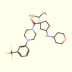 CC(C)[C@]1(C(=O)N2CCN(c3cccc(C(F)(F)F)c3)CC2)CCC(NC2CCOCC2)C1